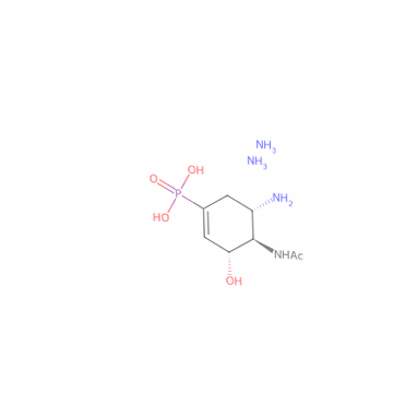 CC(=O)N[C@H]1[C@H](O)C=C(P(=O)(O)O)C[C@@H]1N.N.N